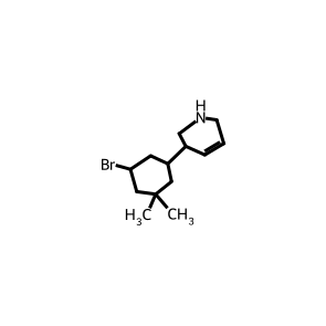 CC1(C)CC(Br)CC(C2C=CCNC2)C1